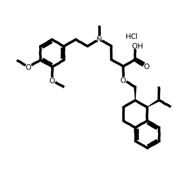 COc1ccc(CCN(C)CCC(OC[C@@H]2CCc3ccccc3[C@@H]2C(C)C)C(=O)O)cc1OC.Cl